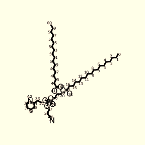 CCCCCCCCCCCCCCCCCC(=O)OCC(COP(=O)(OCCC#N)OCCC1CCCCN1C)OC(=O)CCCCCCCCCCCCCCCCC